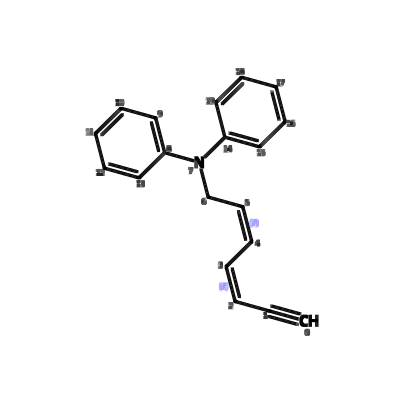 C#C/C=C\C=C/CN(c1ccccc1)c1ccccc1